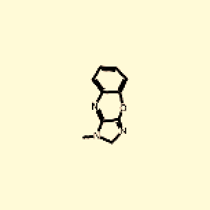 CN1CN=C2Oc3ccccc3N=C21